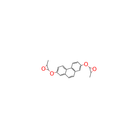 CC1OC1Oc1ccc2c(ccc3cc(OC4OC4C)ccc32)c1